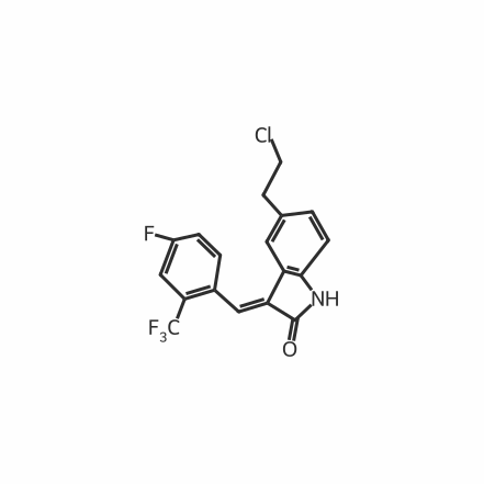 O=C1Nc2ccc(CCCl)cc2C1=Cc1ccc(F)cc1C(F)(F)F